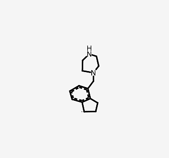 [CH]1CCc2c1cccc2CN1CCNCC1